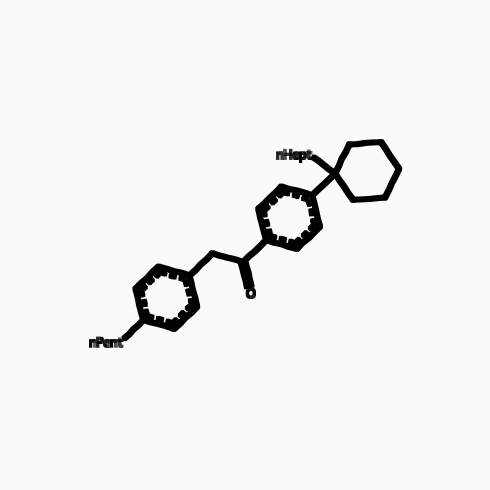 CCCCCCCC1(c2ccc(C(=O)Cc3ccc(CCCCC)cc3)cc2)CCCCC1